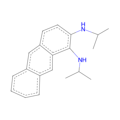 CC(C)Nc1ccc2cc3ccccc3cc2c1NC(C)C